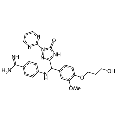 COc1cc(C(Nc2ccc(C(=N)N)cc2)c2nn(-c3ncccn3)c(=O)[nH]2)ccc1OCCCO